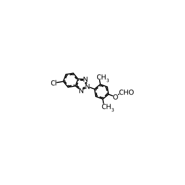 Cc1cc(-n2nc3ccc(Cl)cc3n2)c(C)cc1OC=O